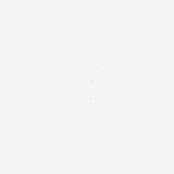 C=C1N(C)c2cnc(N[C@@H](CO)c3ccccc3)nc2N(C2CCCC2)CC1(C)C